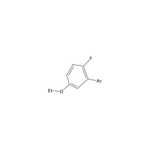 CCOc1ccc(F)c(C(C)=O)c1